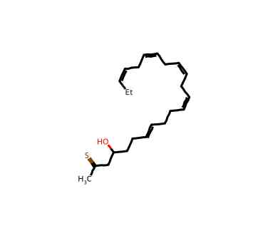 CC/C=C\C/C=C\C/C=C\C/C=C\CC/C=C/CCC(O)CC(C)=S